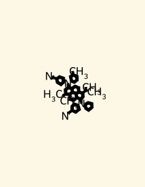 Cc1cccc(N(c2ccc(C#N)cc2)c2cc(C(C)C)c3ccc4c(N(c5ccccc5)c5ccc(C#N)cc5)cc(C(C)C)c5ccc2c3c54)c1